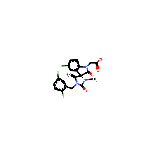 C=C1N(Cc2cc(Cl)ccc2F)C(=O)N(C)[C@]12C(=O)N(CC(=O)O)c1ccc(Cl)cc12